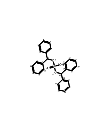 O=P(O)(OC(c1ccccc1)c1ccccc1)OC(c1ccccc1)c1ccccc1